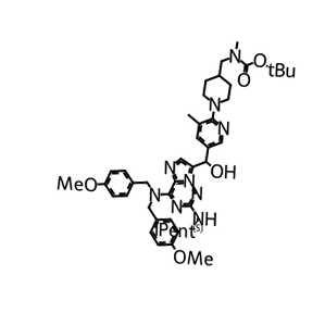 CCC[C@H](C)Nc1nc(N(Cc2ccc(OC)cc2)Cc2ccc(OC)cc2)c2ncc(C(O)c3cnc(N4CCC(CN(C)C(=O)OC(C)(C)C)CC4)c(C)c3)n2n1